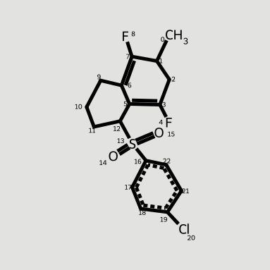 CC1CC(F)=C2C(=C1F)CCCC2S(=O)(=O)c1ccc(Cl)cc1